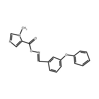 Cn1cncc1C(=O)ON=Cc1cccc(Oc2ccccc2)c1